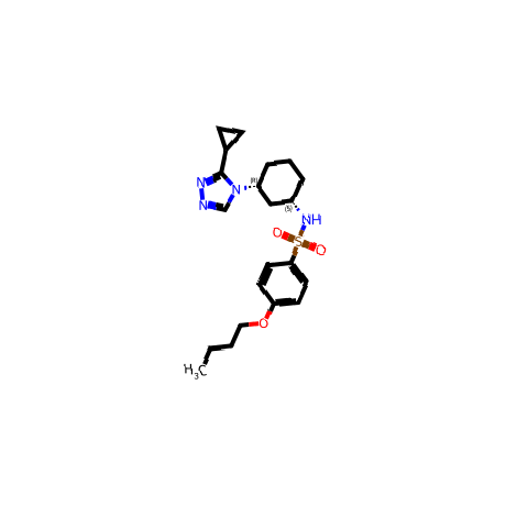 CCCCOc1ccc(S(=O)(=O)N[C@H]2CCC[C@@H](n3cnnc3C3CC3)C2)cc1